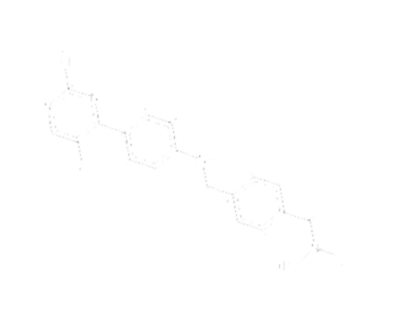 Cc1cnc(Cl)nc1-c1ccc(NCc2ccc(CN(C(=O)O)C(C)(C)C)cc2)cc1